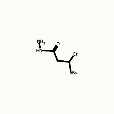 CCCCC(CC)CC(=O)NN